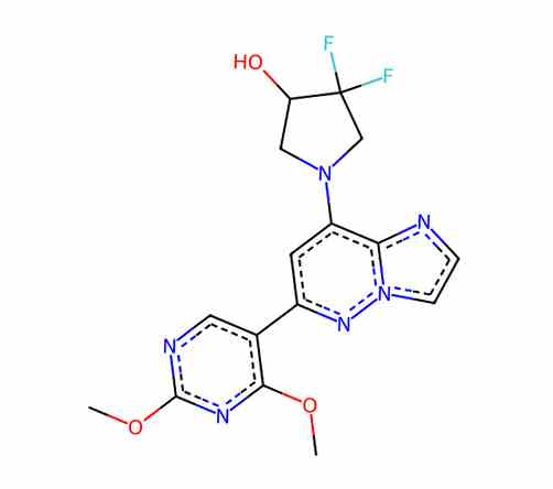 COc1ncc(-c2cc(N3CC(O)C(F)(F)C3)c3nccn3n2)c(OC)n1